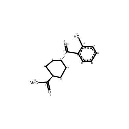 COC(=O)[C@H]1CC[C@H](C(=N)c2ccccc2O)CC1